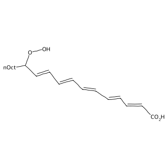 CCCCCCCCC(C=CC=CC=CC=CC=CC(=O)O)OO